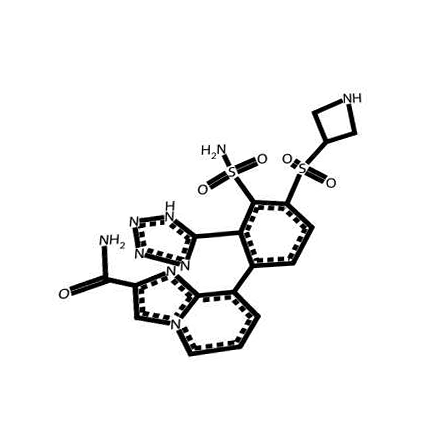 NC(=O)c1cn2cccc(-c3ccc(S(=O)(=O)C4CNC4)c(S(N)(=O)=O)c3-c3nnn[nH]3)c2n1